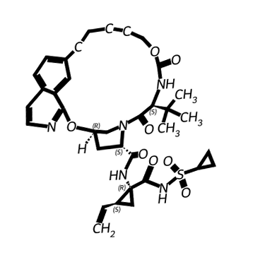 C=C[C@@H]1C[C@]1(NC(=O)[C@@H]1C[C@@H]2CN1C(=O)[C@H](C(C)(C)C)NC(=O)OCCCCCc1ccc3ccnc(c3c1)O2)C(=O)NS(=O)(=O)C1CC1